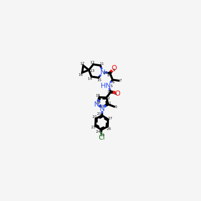 Cc1c(C(=O)NC(C)C(=O)N2CCC3(CC2)CC3)cnn1-c1ccc(Cl)cc1